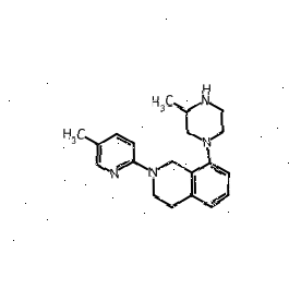 Cc1ccc(N2CCc3cccc(N4CCNC(C)C4)c3C2)nc1